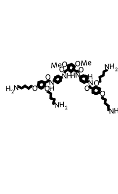 COc1cc(OC)c(C(=O)Nc2ccc(NC(=O)c3ccc(OCCCCCN)cc3OCCCCCN)cc2)cc1C(=O)Nc1ccc(NC(=O)c2ccc(OCCCCCN)cc2OCCCCCN)cc1